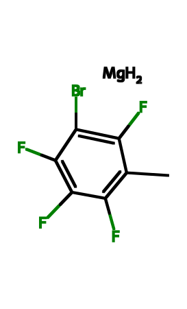 Cc1c(F)c(F)c(F)c(Br)c1F.[MgH2]